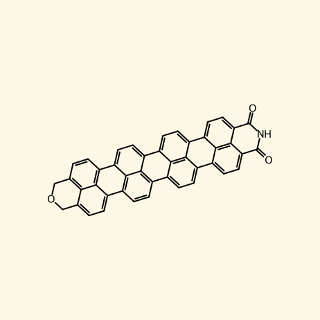 O=C1NC(=O)c2ccc3c4ccc5c6ccc7c8ccc9c%10c(ccc(c%11ccc(c%12ccc(c%13ccc1c2c%133)c4c%125)c6c%117)c%108)COC9